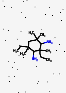 CCC1(C)CC(C)(C)C(N)C(C)(CC)C1N